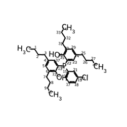 CCCCc1cc(CCCC)c(O)c(P(c2cccc(Cl)c2)c2cc(CCCC)cc(CCCC)c2O)c1